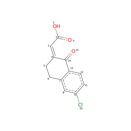 O=C(O)C=C1CCc2cc(Cl)ccc2C1=O